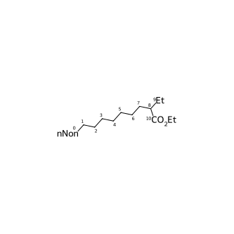 CCCCCCCCCCCCCCCCC(CC)C(=O)OCC